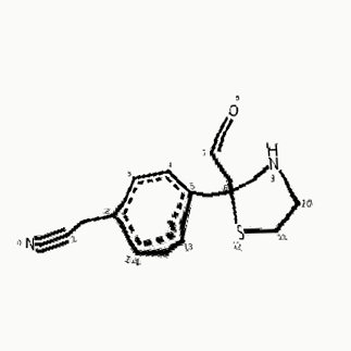 N#Cc1ccc(C2(C=O)NCCS2)cc1